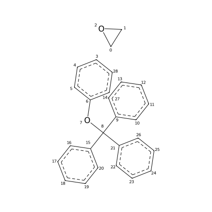 C1CO1.c1ccc(OC(c2ccccc2)(c2ccccc2)c2ccccc2)cc1